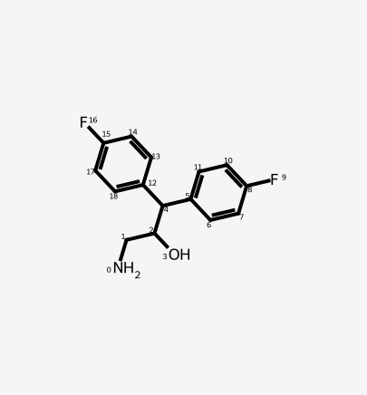 NCC(O)C(c1ccc(F)cc1)c1ccc(F)cc1